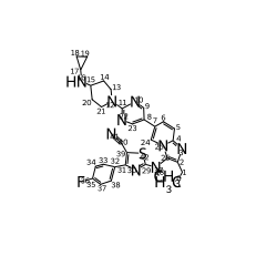 CCc1nc2ccc(-c3cnc(N4CCC(NC5CC5)CC4)nc3)cn2c1N(C)c1nc(-c2ccc(F)cc2)c(C#N)s1